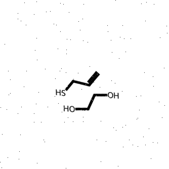 C=CCS.OCCO